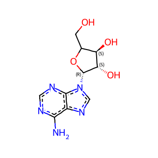 Nc1ncnc2c1ncn2[C@@H]1OC(CO)[C@@H](O)[C@@H]1O